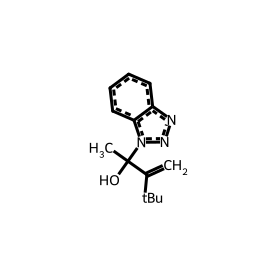 C=C(C(C)(C)C)C(C)(O)n1nnc2ccccc21